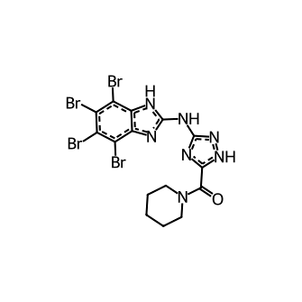 O=C(c1nc(Nc2nc3c(Br)c(Br)c(Br)c(Br)c3[nH]2)n[nH]1)N1CCCCC1